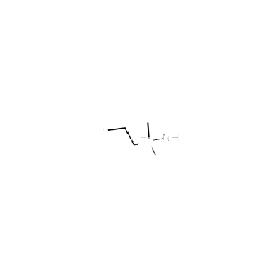 CCCC[CH2][Ta]([CH3])([CH3])[NH2]